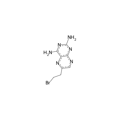 Nc1nc(N)c2nc(CCBr)cnc2n1